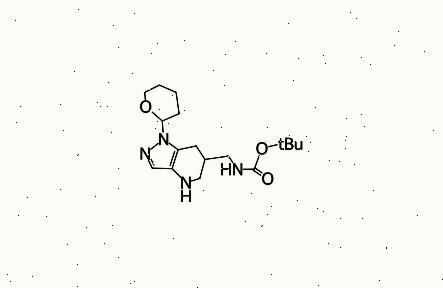 CC(C)(C)OC(=O)NCC1CNc2cnn(C3CCCCO3)c2C1